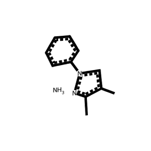 Cc1cn(-c2ccccc2)nc1C.N